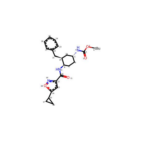 CC(C)(C)OC(=O)N[C@@H]1CC[C@@H](NC(=O)c2cc(C3CC3)on2)[C@@H](Cc2ccccc2)C1